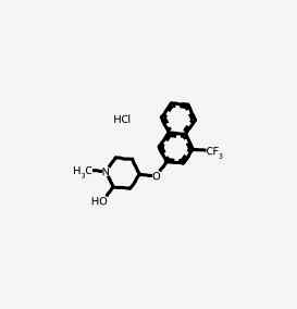 CN1CCC(Oc2cc(C(F)(F)F)c3ccccc3c2)CC1O.Cl